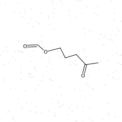 CC(=O)CCCOC=O